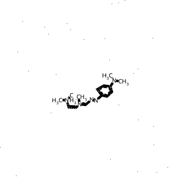 CN(C)\C=C/[N+](C)=C/N=N/c1ccc(N(C)C)cc1